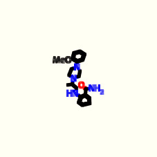 COc1ccccc1N1CCN(C(C)CNc2ccccc2C(N)=O)CC1